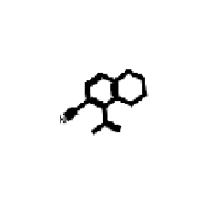 C=C(C)c1c(C#N)ccc2c1CCCC2